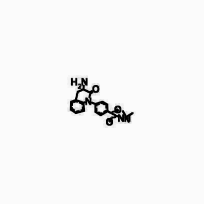 CC(C)(C)NS(=O)(=O)c1ccc(N2C(=O)C(N)Cc3ccccc32)cc1